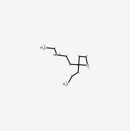 CCCC1(CCNCC)CCO1